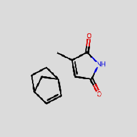 C1=CC2CCC1C2.CC1=CC(=O)NC1=O